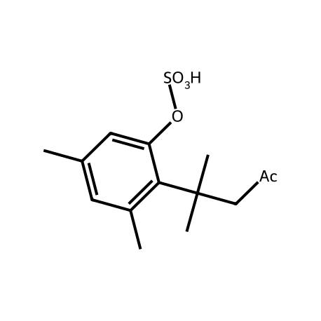 CC(=O)CC(C)(C)c1c(C)cc(C)cc1OS(=O)(=O)O